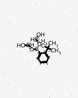 CC(C)(C)c1ccccc1B(OBO)OBO